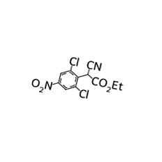 CCOC(=O)C(C#N)c1c(Cl)cc([N+](=O)[O-])cc1Cl